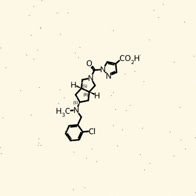 CN(Cc1ccccc1Cl)[C@H]1C[C@@H]2CN(C(=O)n3cc(C(=O)O)cn3)C[C@@H]2C1